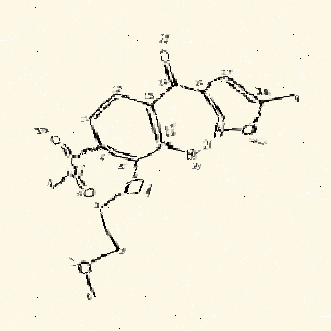 COCCOc1c(S(C)(=O)=O)ccc(C(=O)c2cc(C)on2)c1Br